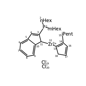 CCCCCCP(CCCCCC)C1=Cc2ccccc2[CH]1[Zr+2][C]1=C(C(C)CCC)C=CC1.[Cl-].[Cl-]